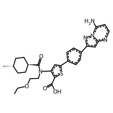 CCOCCN(c1cc(-c2ccc(-c3cc4nccc(N)n4n3)cc2)sc1C(=O)O)C(=O)[C@H]1CC[C@H](C)CC1